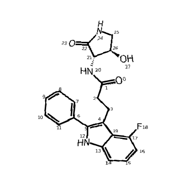 O=C(CCc1c(-c2ccccc2)[nH]c2cccc(F)c12)N[C@@H]1C(=O)NC[C@H]1O